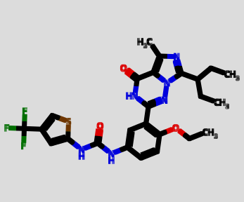 CCOc1ccc(NC(=O)Nc2cc(C(F)(F)F)cs2)cc1-c1nn2c(C(CC)CC)nc(C)c2c(=O)[nH]1